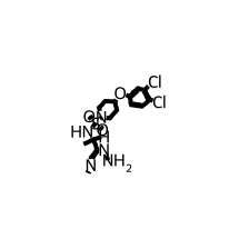 C=N/C=C(\NN)C(C)(C)NS(=O)(=O)N1CCC(Oc2ccc(Cl)c(Cl)c2)CC1